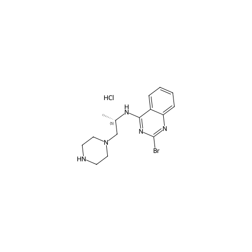 C[C@@H](CN1CCNCC1)Nc1nc(Br)nc2ccccc12.Cl